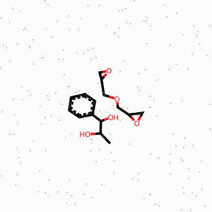 C(OCC1CO1)C1CO1.CC(O)C(O)c1ccccc1